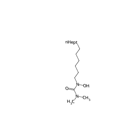 CCCCCCCCCCCCCN(O)C(=O)N(C)C